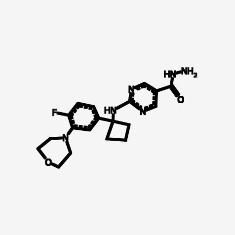 NNC(=O)c1cnc(NC2(c3ccc(F)c(N4CCOCC4)c3)CCC2)nc1